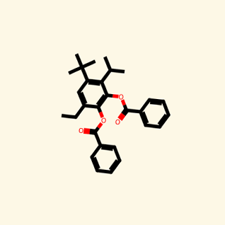 CCc1cc(C(C)(C)C)c(C(C)C)c(OC(=O)c2ccccc2)c1OC(=O)c1ccccc1